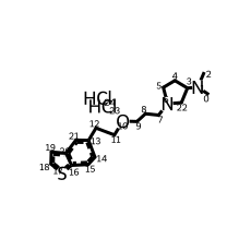 CN(C)C1CCN(CCCOCCc2ccc3sccc3c2)C1.Cl.Cl